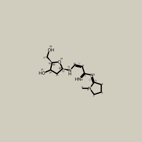 CN1CCC/C1=N/C(=N)/C=C\N[C@H]1CC(O)[C@@H](CO)O1